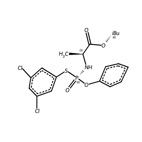 CC[C@@H](C)OC(=O)[C@H](C)N[P@@](=O)(Oc1ccccc1)Sc1cc(Cl)cc(Cl)c1